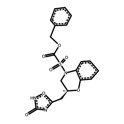 O=C(OCc1ccccc1)S(=O)(=O)N1C[C@H](Cc2nc(=O)[nH]o2)Oc2ccccc21